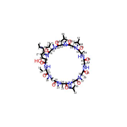 C/C=C/C[C@@H](C)[C@@H](O)[C@H]1C(=O)N[C@@H](CC)C(=O)N(C)CC(=O)N(C)[C@H](C)C(=O)N[C@@H](CC(C)C)C(=O)N(C)[C@@H](C)C(=O)N[C@@H](C)C(=O)N[C@H](C)C(=O)N(C)[C@@H](CC(C)C)C(=O)N(C)[C@H](CC(C)C)C(=O)N(C)[C@@H](C(C)C)C(=O)N1C